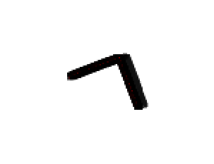 [Ni+2].[Ni+2].[Ni+2].[Ni+2].[Ni+2].[Ni+2].[Ni+2].[Ni+2].[Ni+2].[Ni+2].[Ni+2].[Ni+2].[Ni+2].[Ni+2].[Ni+2].[Ni+2].[Ni+2].[Ni+2].[Ni+2].[Ni+2].[Ni+2].[Ni+2].[Ni+2].[Ni+2].[Ni+2].[Ni+2].[Ni+2].[Ni+2].[Ni+2].[Ni+2].[Ni+2].[Ni+2].[Ni+2].[Ni+2].[Ni+2].[Ni+2].[Ni+2].[Ni+2].[Ni+2].[Ni+2].[Ni+2].[Ni+2].[Ni+2].[Ni+2].[Ni+2].[Ni+2].[Ni+2].[Ni+2].[Ni+2].[Ni+2].[Ni+2].[Ni+2].[Ni+2].[Ni+2].[Ni+2].[Ni+2].[Ni+2].[Ni+2].[Ni+2].[Ni+2].[Ni+2].[Ni+2].[Ni+2].[Ni+2].[Ni+2].[Ni+2].[Ni+2].[Ni+2].[Ni+2].[Ni+2].[Ni+2].[Ni+2].[Ni+2].[Ni+2].[Ni+2].[Ni+2].[Ni+2].[Ni+2].[Ni+2].[Ni+2].[Ni+2].[Ni+2].[Ni+2].[Ni+2].[Ni+2].[Ni+2].[Ni+2].[Ni+2].[Ni+2].[Ni+2].[Ni+2].[Ni+2].[Ni+2].[Ni+2].[Ni+2].[Ni+2].[Ni+2].[Ni+2].[Ni+2].[Ni+2].[Ni+2].[Ni+2].[Ni+2].[Ni+2].[Ni+2].[Ni+2].[Ni+2].[Ni+2].[Ni+2].[Ni+2].[Ni+2].[Ni+2].[Ni+2].[Ni+2].[Ni+2].[Ni+2].[Ni+2].[Ni+2].[Ni+2].[Ni+2].[Ni+2].[Ni+2].[Ni+2].[Ni+2].[Ni+2].[Ni+2].[Ni+2].[Ni+2].[Ni+2].[Ni+2].[Ni+2].[Ni+2].[Ni+2].[Ni+2].[Ni+2].[Ni+2].[Ni+2].[Ni+2].[Ni+2].[Ni+2].[Ni+2].[Ni+2].[Ni+2].[Ni+2].[Ni+2]